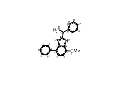 COc1ccc(-c2ccccc2)c2sc(C(N)c3ccccn3)nc12